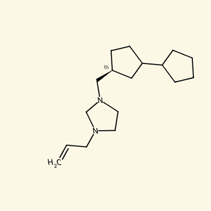 C=CCN1CCN(C[C@H]2CCC(C3CCCC3)C2)C1